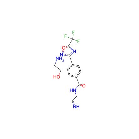 N=CCNC(=O)c1ccc(-c2noc(C(F)(F)F)n2)cc1.NCCO